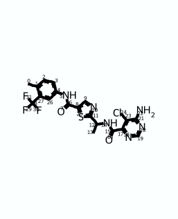 Cc1ccc(NC(=O)c2cnc(C(C)NC(=O)c3ncnc(N)c3Cl)s2)cc1C(F)(F)F